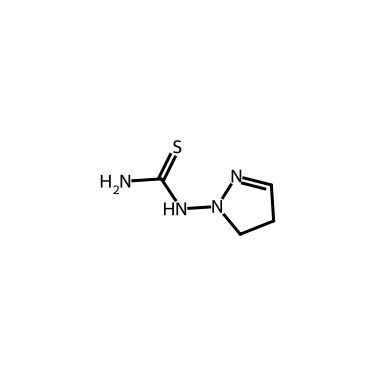 NC(=S)NN1CCC=N1